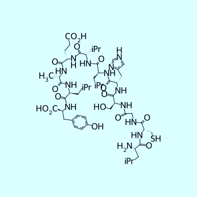 CC(C)C[C@H](NC(=O)[C@H](C)NC(=O)[C@H](CCC(=O)O)NC(=O)[C@@H](NC(=O)[C@H](CC(C)C)NC(=O)[C@H](Cc1c[nH]cn1)NC(=O)[C@H](CO)NC(=O)CNC(=O)[C@H](CS)NC(=O)[C@@H](N)CC(C)C)C(C)C)C(=O)N[C@@H](Cc1ccc(O)cc1)C(=O)O